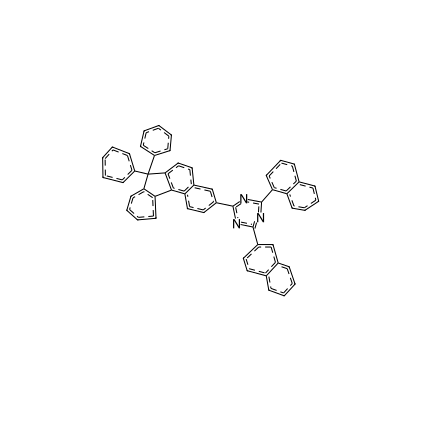 c1ccc(C2(c3ccccc3)c3ccccc3-c3c2ccc2cc(-c4nc(-c5ccc6ccccc6c5)nc(-c5cccc6ccccc56)n4)ccc32)cc1